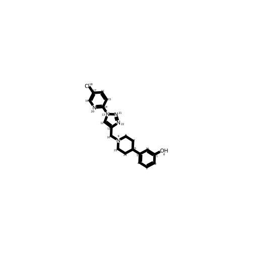 Oc1cccc(C2CCN(Cc3cn(-c4ccc(Cl)cn4)nn3)CC2)c1